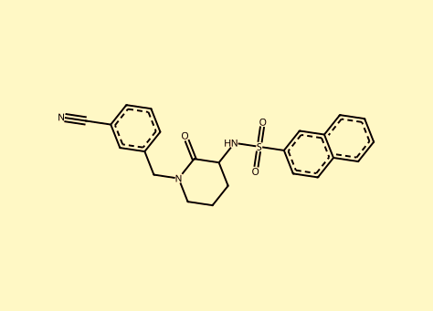 N#Cc1cccc(CN2CCCC(NS(=O)(=O)c3ccc4ccccc4c3)C2=O)c1